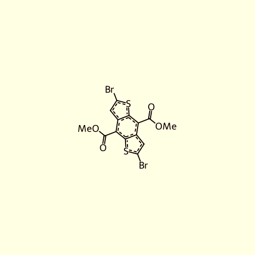 COC(=O)c1c2cc(Br)sc2c(C(=O)OC)c2cc(Br)sc12